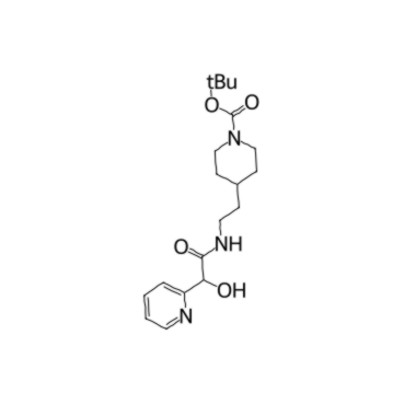 CC(C)(C)OC(=O)N1CCC(CCNC(=O)C(O)c2ccccn2)CC1